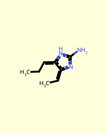 C/C=c1/nc(N)[nH]/c1=C/CC